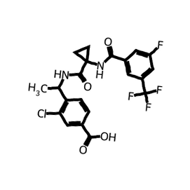 CC(NC(=O)C1(NC(=O)c2cc(F)cc(C(F)(F)F)c2)CC1)c1ccc(C(=O)O)cc1Cl